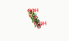 O=C(O)C(F)(F)OC(F)(F)C(F)(F)OC(F)(F)C(F)(F)OC(F)(F)C(=O)O